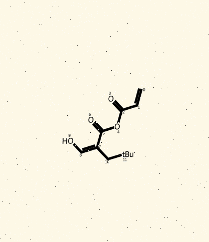 C=CC(=O)OC(=O)C(=CO)CC(C)(C)C